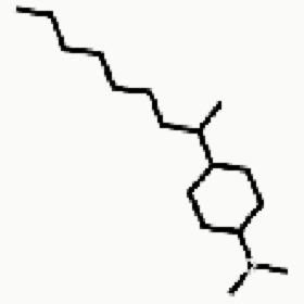 CCCCCCCC(C)C1CCC(N(C)C)CC1